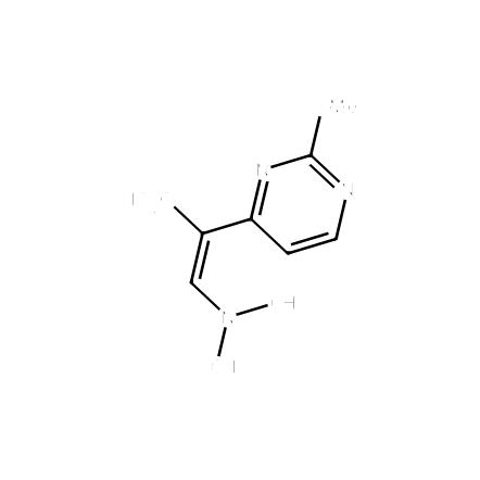 CSc1nccc(/C(=C\N(C)C)C(=O)O)n1